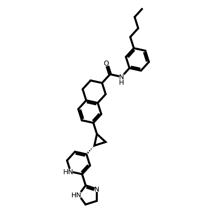 CCCCc1cccc(NC(=O)C2CCc3ccc(C4C[C@@H]4C4=CCNC(C5=NCCN5)=C4)cc3C2)c1